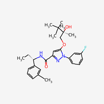 CC[C@H](NC(=O)c1cc(OC[C@](C)(O)C(C)(C)C)n(-c2cccc(F)c2)n1)c1cccc(C)c1